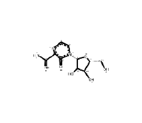 N=C(N)c1nccn([C@@H]2O[C@H](CO)C(O)C2O)c1=O